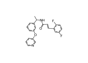 CC(NC(=O)C=Cc1cc(F)ccc1F)c1cccc(Oc2cccnc2)c1